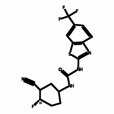 N#CC1CC(NC(=O)Nc2nc3ccc(C(F)(F)F)cc3s2)CC[C@H]1F